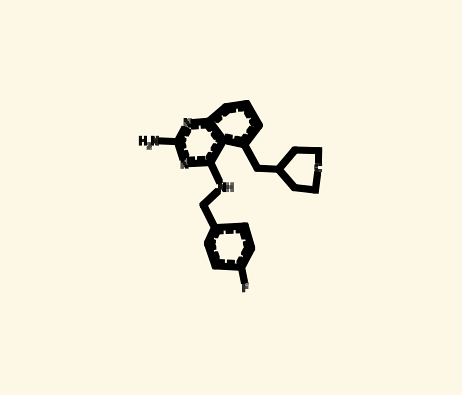 Nc1nc(NCc2ccc(F)cc2)c2c(CC3CCCCC3)cccc2n1